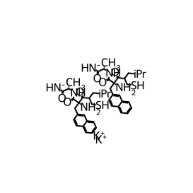 CC(C)CC(CS)C(=O)[C@](N)(Cc1ccc2ccccc2c1)C(=O)N[C@@H](C)C([NH-])=O.CC(C)CC(CS)C(=O)[C@](N)(Cc1ccc2ccccc2c1)C(=O)N[C@@H](C)C([NH-])=O.[K+].[K+]